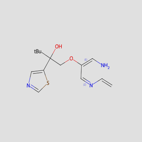 C=C/N=C\C(=C/N)OCC(O)(c1cncs1)C(C)(C)C